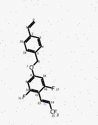 C=Cc1ccc(COc2cc(F)c(/C=C/C(F)(F)F)c(F)c2)cc1